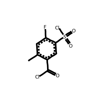 Cc1cc(F)c(S(=O)(=O)Cl)cc1C(=O)Cl